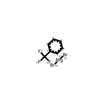 FC(F)(F)c1c[c]ccc1.[Br][Mg][Br]